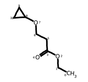 CCOC(=O)CCOC1CC1